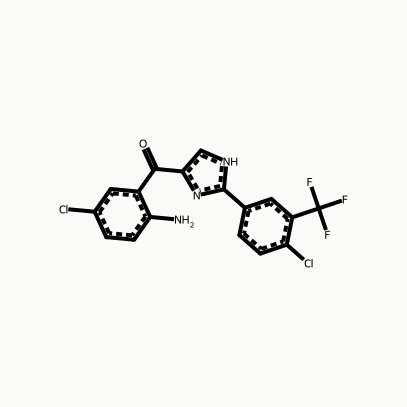 Nc1ccc(Cl)cc1C(=O)c1c[nH]c(-c2ccc(Cl)c(C(F)(F)F)c2)n1